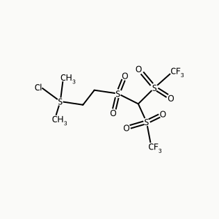 CS(C)(Cl)CCS(=O)(=O)C(S(=O)(=O)C(F)(F)F)S(=O)(=O)C(F)(F)F